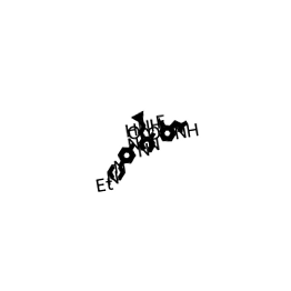 CCN1CCN(c2ccc(Nc3ncnc(Oc4ccc5[nH]c(C)cc5c4F)c3C(=O)NC3CC3)cc2)CC1